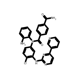 NC(=O)c1ccc(C(=O)N(c2ccc(Cl)c(Nc3nccc(-c4cccnc4)n3)c2)c2ccccc2N)cc1